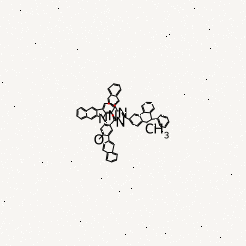 CC1c2ccc(-c3nc(-c4ccc5ccccc5c4)nc(-c4cc5c(cc4-n4c6ccccc6c6cc7ccccc7cc64)oc4cc6ccccc6cc45)n3)cc2-c2ccccc2C1c1ccccc1